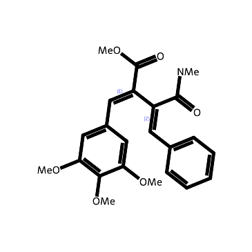 CNC(=O)C(=C\c1ccccc1)/C(=C\c1cc(OC)c(OC)c(OC)c1)C(=O)OC